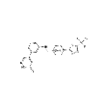 CC(F)(F)c1nc(C23CCC(CNc4cccc(-c5cn[nH]c(=O)c5)c4)(CC2)CC3)no1